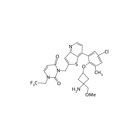 COCC1(N)CC(Oc2c(C)cc(Cl)cc2-c2ccnc3cc(Cn4c(=O)ccn(CC(F)(F)F)c4=O)sc23)C1